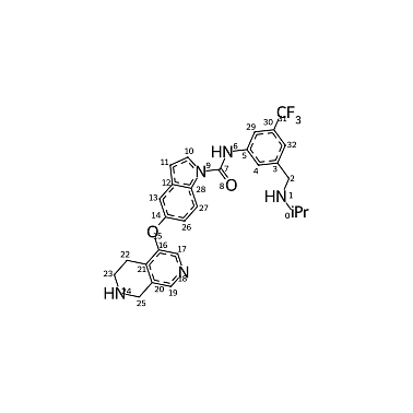 CC(C)NCc1cc(NC(=O)n2ccc3cc(Oc4cncc5c4CCNC5)ccc32)cc(C(F)(F)F)c1